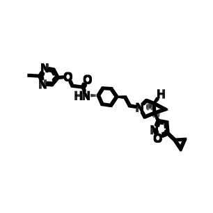 Cc1ncc(OCC(=O)N[C@H]2CC[C@H](CCN3C[C@@H]4C[C@]4(c4cc(C5CC5)on4)C3)CC2)cn1